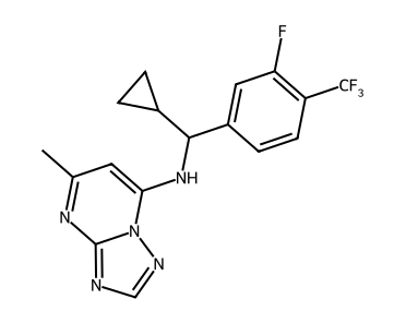 Cc1cc(NC(c2ccc(C(F)(F)F)c(F)c2)C2CC2)n2ncnc2n1